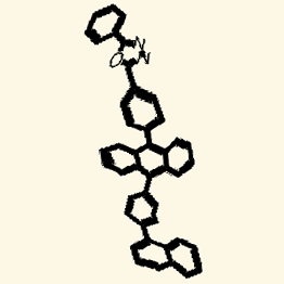 c1ccc(-c2nnc(-c3ccc(-c4c5ccccc5c(-c5ccc(-c6cccc7ccccc67)cc5)c5ccccc45)cc3)o2)cc1